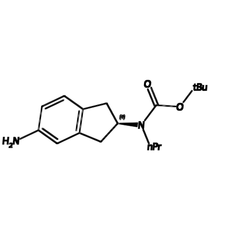 CCCN(C(=O)OC(C)(C)C)[C@@H]1Cc2ccc(N)cc2C1